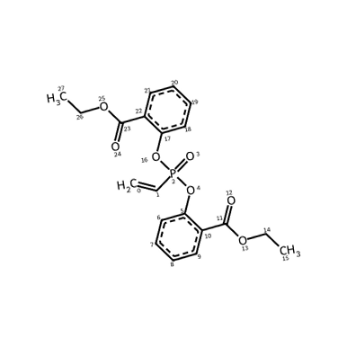 C=CP(=O)(Oc1ccccc1C(=O)OCC)Oc1ccccc1C(=O)OCC